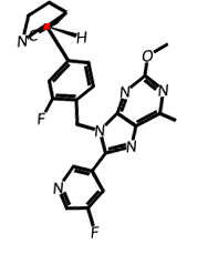 COc1nc(C)c2nc(-c3cncc(F)c3)n(Cc3ccc([C@H]4CN5CCC4CC5)cc3F)c2n1